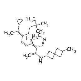 C=C(NC1CC2(CC(C)C2)C1)C(/C=N\C)=C(C)\C=C/C(CCC(C)(C)C)=C(\C)C1CC1